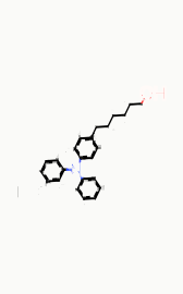 Cc1cccc(N(c2ccccc2)c2ccc(CCCCCCO)cc2)c1